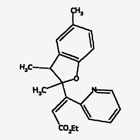 CCOC(=O)C=C(c1ccccn1)C1(C)Oc2ccc(C)cc2C1C